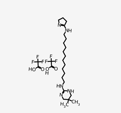 CC1(C)CN=C(NCCCCCCCCCCCCNC2=NCCC2)NC1.O=C(O)C(F)(F)F.O=C(O)C(F)(F)F